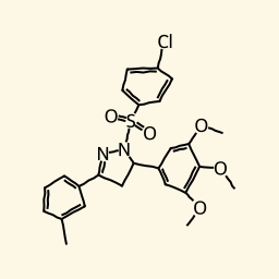 COc1cc(C2CC(c3cccc(C)c3)=NN2S(=O)(=O)c2ccc(Cl)cc2)cc(OC)c1OC